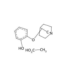 CC(=O)O.Oc1ccccc1OC1CN2CCC1CC2